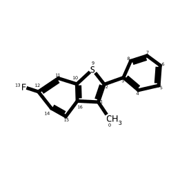 Cc1c(-c2ccccc2)sc2cc(F)ccc12